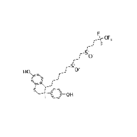 CC1(c2ccc(O)cc2)CSc2cc(O)ccc2C1CCCCCC[S+]([O-])CCC[S+]([O-])CCCC(F)(F)C(F)(F)F